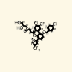 Cn1nc(C(F)(F)F)cc1-c1ccc(OCc2ccc(Cl)cc2)c(-c2ccc(Cl)c(C(F)(F)F)c2)c1OC(=O)CC[S+]([O-])CC(O)CO